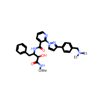 CCN(CC)Cc1ccc(-c2ccn(-c3ncccc3C(=O)NC(Cc3ccccc3)C(O)C(=O)NOC)n2)cc1